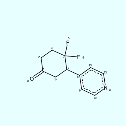 O=C1CCC(F)(F)C(c2ccncc2)C1